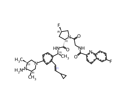 C[C@H](NC(=O)[C@@H]1C[C@@H](F)CN1C(=O)CNC(=O)c1ccc2cc(F)ccc2n1)c1ccc(N2C[C@@H](C)N(N)[C@@H](C)C2)cc1/C=C/C1CC1